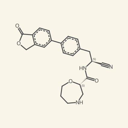 N#C[C@H](Cc1ccc(-c2ccc3c(c2)COC3=O)cc1)NC(=O)[C@@H]1CNCCCO1